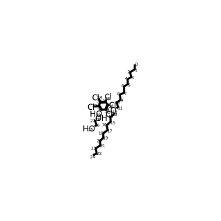 CCCCCCCCCCCCOCCCCCCCCCCCC.OCCO.Oc1c(Cl)c(Cl)c(Cl)c(Cl)c1Cl